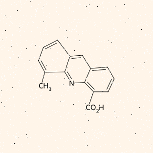 Cc1cccc2cc3cccc(C(=O)O)c3nc12